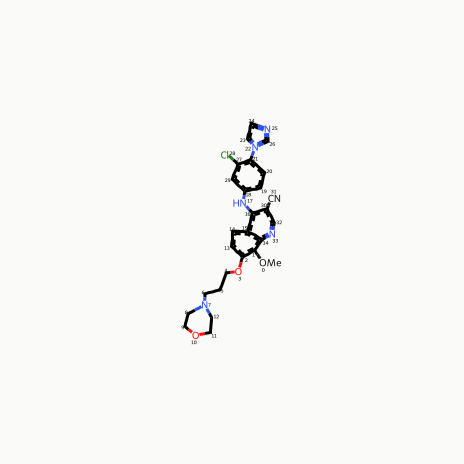 COc1c(OCCCN2CCOCC2)ccc2c(Nc3ccc(-n4ccnc4)c(Cl)c3)c(C#N)cnc12